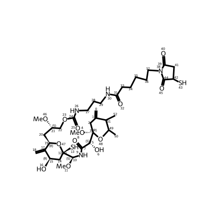 C=C1C[C@](OC)([C@H](O)C(=O)N[C@@H](OC)[C@]2(S)C[C@@H](O)C(=C)[C@@H](C[C@@H](COC(=O)NCCCNC(=O)CCCCCN3C(=O)CC(S)C3=O)OC)O2)OC(C)C1C